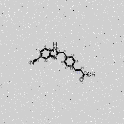 N#Cc1ccc2[nH]c(Cc3ccc(/C=C/C(=O)O)cc3)nc2c1